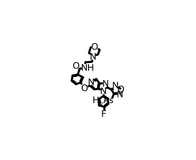 O=C(NCCN1CCOCC1)c1cccc(Oc2cc3c(cn2)nc(-c2nonc2[AsH2])n3-c2ccc(F)cc2)c1